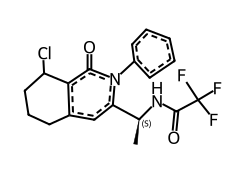 C[C@H](NC(=O)C(F)(F)F)c1cc2c(c(=O)n1-c1ccccc1)C(Cl)CCC2